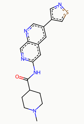 CN1CCC(C(=O)Nc2cc3cc(-c4cnsc4)cnc3cn2)CC1